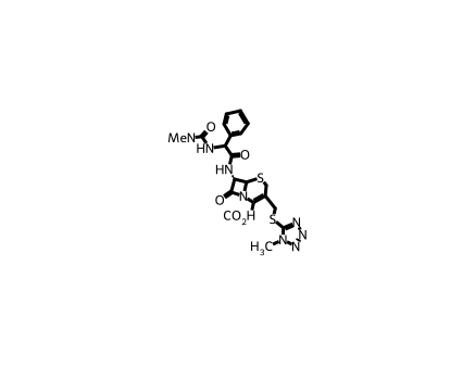 CNC(=O)NC(C(=O)N[C@H]1C(=O)N2C(C(=O)O)=C(CSc3nnnn3C)CSC12)c1ccccc1